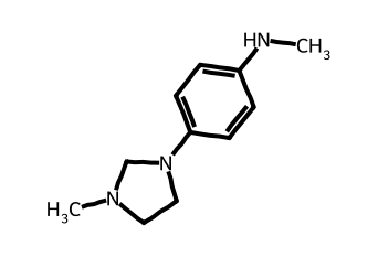 CNc1ccc(N2CCN(C)C2)cc1